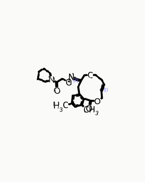 Cc1cc(C)c2c(c1)C/C(=N\OCC(=O)N1CCCCC1)CCCC/C=C/COC2=O